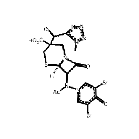 CC(=O)N(C1C(=O)N2CC(C(=O)O)(C(S)c3nnnn3C)CS[C@H]12)n1cc(Br)c(=O)c(Br)c1